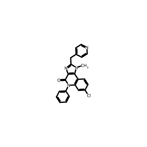 Cn1c(Cc2ccncc2)nc2c(=O)n(-c3ccccc3)c3cc(Cl)ccc3c21